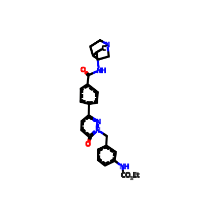 CCOC(=O)Nc1cccc(Cn2nc(-c3ccc(C(=O)NC4CN5CCC4CC5)cc3)ccc2=O)c1